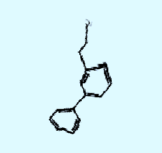 N#CCCc1cccc(-c2ccccc2)c1